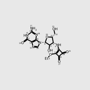 CCOc1c(N[C@@H]2C(O)[C@H](n3cnc4c(=O)[nH]c(N)nc43)O[C@@H]2CO)c(=O)c1=O